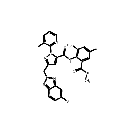 CNC(=O)c1cc(Cl)cc(C)c1NC(=O)c1cc(Cn2nc3ccc(Br)cc3n2)nn1-c1ncccc1Cl